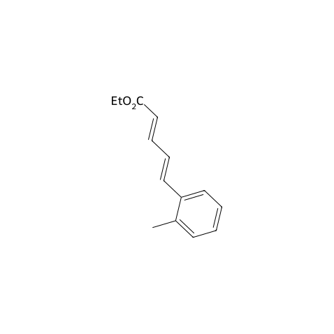 CCOC(=O)C=CC=Cc1ccccc1C